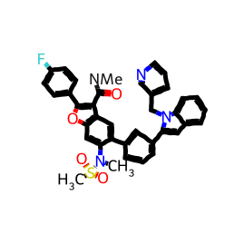 CNC(=O)c1c(-c2ccc(F)cc2)oc2cc(N(C)S(C)(=O)=O)c(-c3cccc(-c4cc5ccccc5n4Cc4cccnc4)c3)cc12